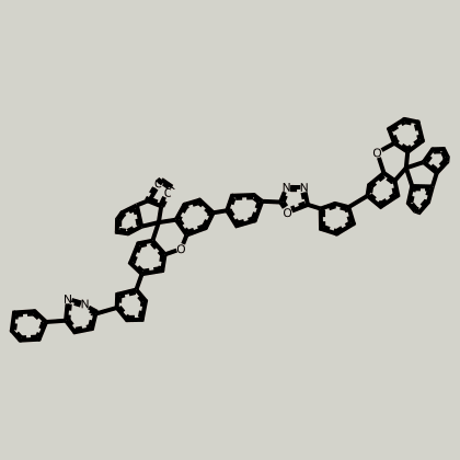 c1ccc(-c2ccc(-c3cccc(-c4ccc5c(c4)Oc4cc(-c6ccc(-c7nnc(-c8cccc(-c9ccc%10c(c9)Oc9ccccc9C%109c%10ccccc%10-c%10ccccc%109)c8)o7)cc6)ccc4C54c5ccccc5-c5ccccc54)c3)nn2)cc1